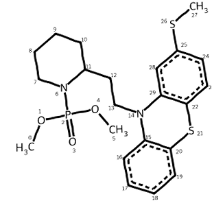 COP(=O)(OC)N1CCCCC1CCN1c2ccccc2Sc2ccc(SC)cc21